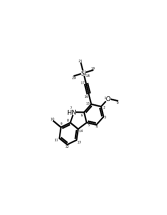 COc1ccc2c([nH]c3c(C)cccc32)c1C#C[Si](C)(C)C